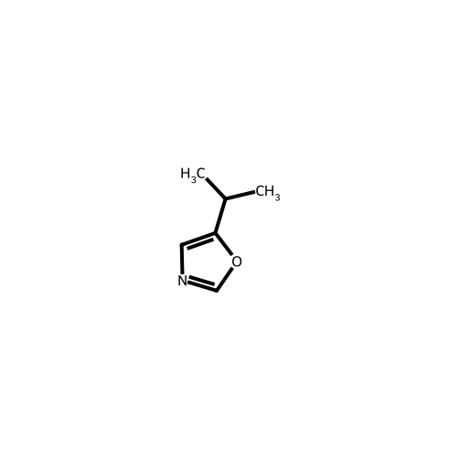 CC(C)c1cnco1